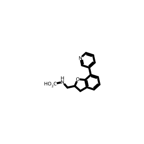 O=C(O)NCC1Cc2cccc(-c3cccnc3)c2O1